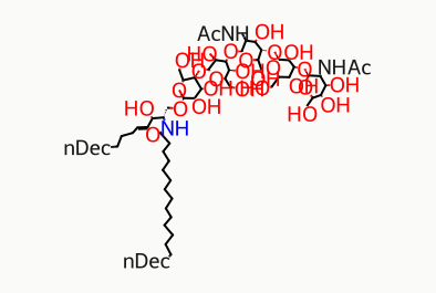 CCCCCCCCCCCCC/C=C/[C@@H](O)[C@H](CO[C@@H]1OC(CO)[C@@H](O[C@@H]2OC(CO)[C@H](O)[C@H](O[C@@H]3OC(CO)[C@@H](O[C@@H]4OC(CO)[C@H](O)[C@H](O[C@@H]5OC(CO)[C@@H](O)[C@H](O)C5NC(C)=O)C4O)[C@H](O)C3NC(C)=O)C2O)[C@H](O)C1O)NC(=O)CCCCCCCCCCCCCCCCCCCCCCC